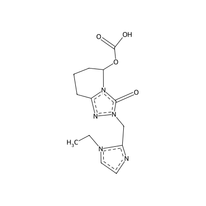 CCn1ccnc1Cn1nc2n(c1=O)C(OC(=O)O)CCC2